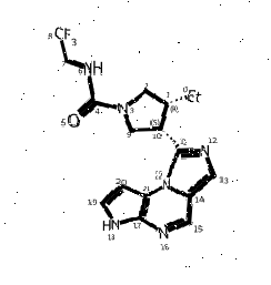 CC[C@H]1CN(C(=O)NCC(F)(F)F)C[C@H]1c1ncc2cnc3[nH]ccc3n12